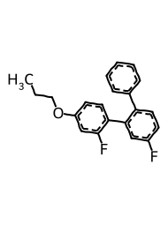 CCCOc1ccc(-c2cc(F)ccc2-c2ccccc2)c(F)c1